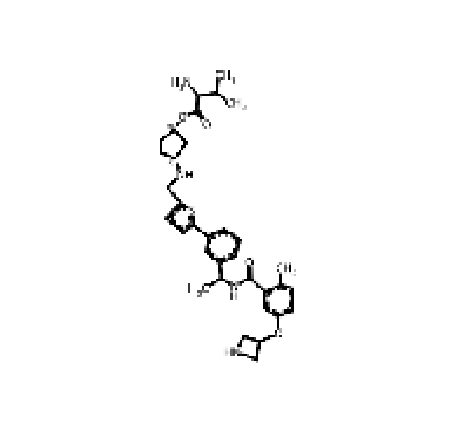 Cc1ccc(OC2CNC2)cc1C(=O)NC(C)c1cccc(-c2ccc(CN[C@H]3CC[C@@H](OC(=O)C(N)C(C)C)C3)s2)c1